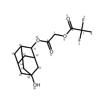 CC(F)(F)C(=O)OCC(=O)OC1C2CC3CC1CC(O)(C3)C2